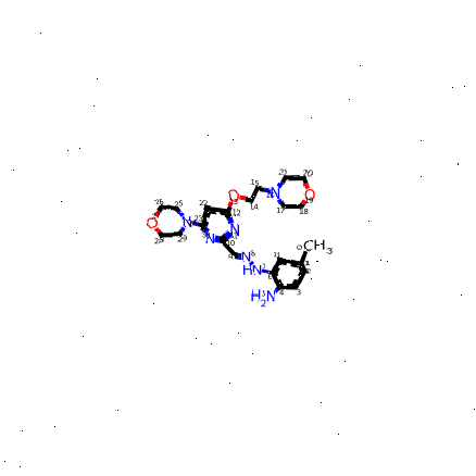 Cc1ccc(N)c(NN=Cc2nc(OCCN3CCOCC3)cc(N3CCOCC3)n2)c1